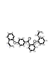 C/C=C\c1ccccc1Oc1ccc(C(=O)c2ccccc2Oc2ccccc2/C=C\C)cc1